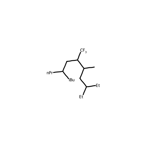 CCCC(CC(C(C)CC(CC)CC)C(F)(F)F)C(C)CC